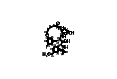 C#CCC1NC(=O)CCCCOc2cc(F)cc(c2)C[C@@H]([C@H](O)CNC2(c3cccc(CC)c3)CC2)NC1=O